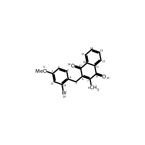 COc1ccc(CC2=C(C)C(=O)c3ccccc3C2=O)c(Br)c1